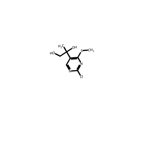 CSc1nc(Cl)ncc1C(C)(O)CO